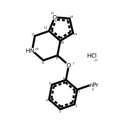 CCCc1ccccc1OC1CNCc2occc21.Cl